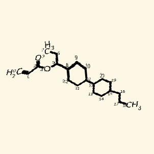 C=CC(=O)OC(CC)C1CCC(C2CCC(CCC)CC2)CC1